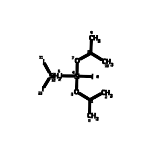 CC(C)O[Si](I)(I)OC(C)C.I[SiH2]I